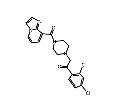 O=C(CN1CCN(C(=O)c2cccn3ccnc23)CC1)c1ccc(Cl)cc1Cl